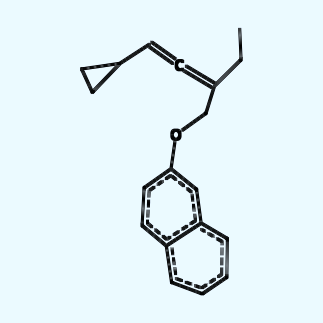 CCC(=C=CC1CC1)COc1ccc2ccccc2c1